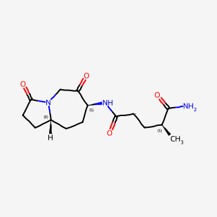 C[C@@H](C[CH]C(=O)N[C@H]1CC[C@@H]2CCC(=O)N2CC1=O)C(N)=O